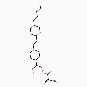 C=C(C)C(O)OCC(CO)C1CCC(CCC2CCC(CCCCI)CC2)CC1